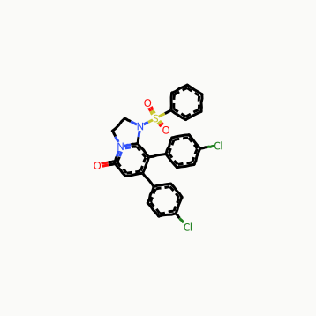 O=c1cc(-c2ccc(Cl)cc2)c(-c2ccc(Cl)cc2)c2n1CCN2S(=O)(=O)c1ccccc1